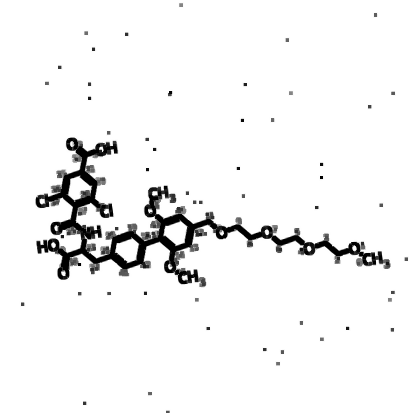 COCCOCCOCCOCc1cc(OC)c(-c2ccc(CC(NC(=O)c3c(Cl)cc(C(=O)O)cc3Cl)C(=O)O)cc2)c(OC)c1